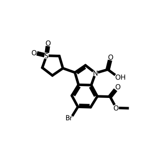 COC(=O)c1cc(Br)cc2c(C3CCS(=O)(=O)C3)cn(C(=O)O)c12